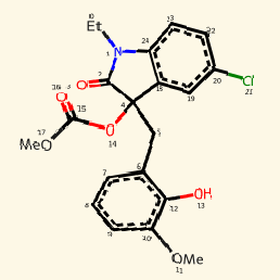 CCN1C(=O)C(Cc2cccc(OC)c2O)(OC(=O)OC)c2cc(Cl)ccc21